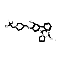 CCC(F)(CC)CN1CCC(COc2ccc(C3C=CC=CC3(F)C(=O)N3CCC[C@H]3C(N)=O)cc2C#N)CC1